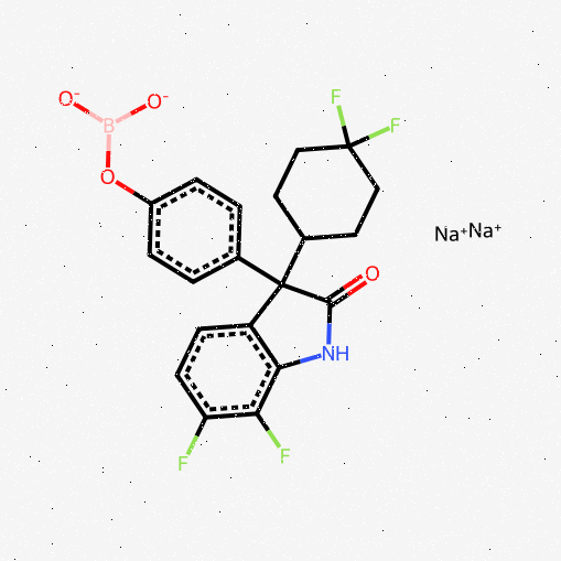 O=C1Nc2c(ccc(F)c2F)C1(c1ccc(OB([O-])[O-])cc1)C1CCC(F)(F)CC1.[Na+].[Na+]